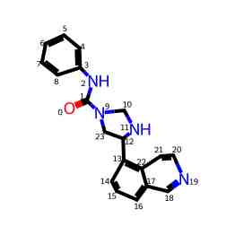 O=C(Nc1ccccc1)N1CNC(c2cccc3cnccc23)C1